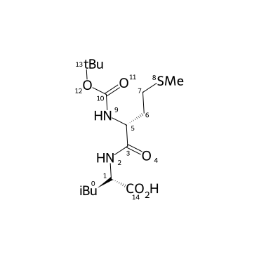 CC[C@H](C)[C@H](NC(=O)[C@@H](CCSC)NC(=O)OC(C)(C)C)C(=O)O